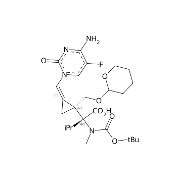 CC(C)[C@@](C(=O)O)(N(C)C(=O)OC(C)(C)C)[C@@]1(COC2CCCCO2)C/C1=C/n1cc(F)c(N)nc1=O